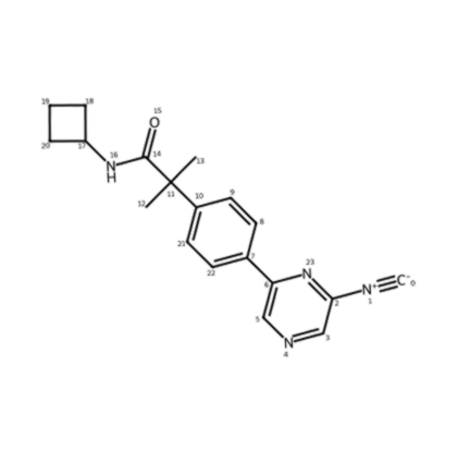 [C-]#[N+]c1cncc(-c2ccc(C(C)(C)C(=O)NC3CCC3)cc2)n1